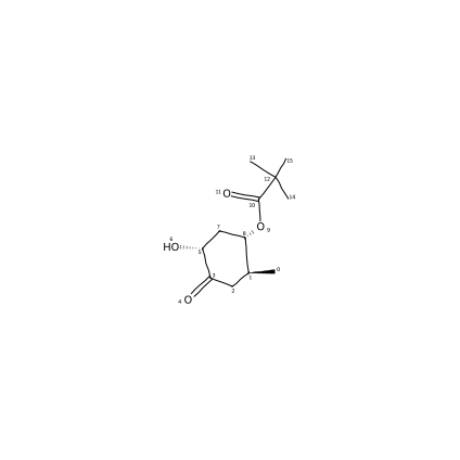 C[C@H]1CC(=O)[C@H](O)C[C@@H]1OC(=O)C(C)(C)C